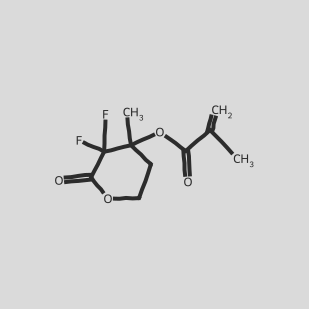 C=C(C)C(=O)OC1(C)CCOC(=O)C1(F)F